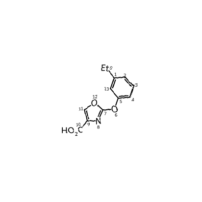 CCc1cccc(Oc2nc(C(=O)O)co2)c1